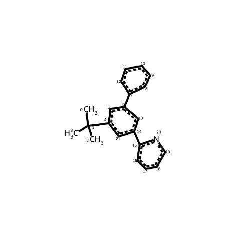 CC(C)(C)c1cc(-c2ccccc2)cc(-c2ccccn2)c1